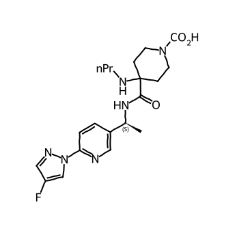 CCCNC1(C(=O)N[C@@H](C)c2ccc(-n3cc(F)cn3)nc2)CCN(C(=O)O)CC1